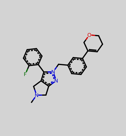 CN1Cc2nn(Cc3cccc(C4=CCCOC4)c3)c(-c3ccccc3F)c2C1